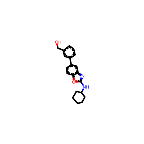 OCc1cccc(-c2ccc3oc(NC4CCCCC4)nc3c2)c1